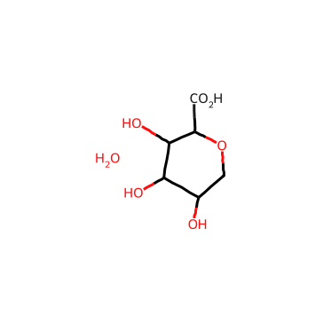 O.O=C(O)C1OCC(O)C(O)C1O